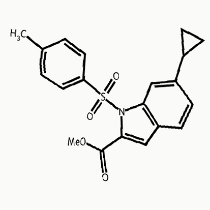 COC(=O)c1cc2ccc(C3CC3)cc2n1S(=O)(=O)c1ccc(C)cc1